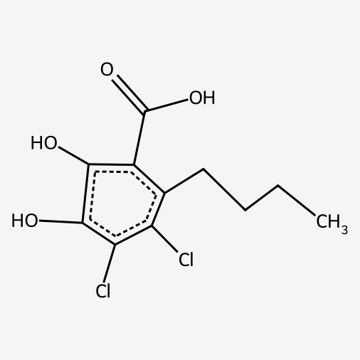 CCCCc1c(Cl)c(Cl)c(O)c(O)c1C(=O)O